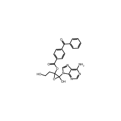 Nc1ncnc2c1ncn2C1(O)OC1(CCO)OC(=O)c1ccc(C(=O)c2ccccc2)cc1